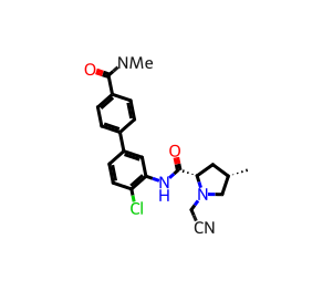 CNC(=O)c1ccc(-c2ccc(Cl)c(NC(=O)[C@@H]3C[C@H](C)CN3CC#N)c2)cc1